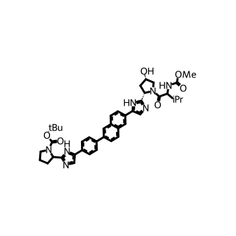 COC(=O)NC(C(=O)N1C[C@@H](O)C[C@H]1c1ncc(-c2ccc3cc(-c4ccc(-c5cnc(C6CCCN6C(=O)OC(C)(C)C)[nH]5)cc4)ccc3c2)[nH]1)C(C)C